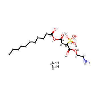 CCCCCCCCCCC(=O)OC(=O)CC(C(=O)OCCN)S(=O)(=O)O.[NaH].[NaH]